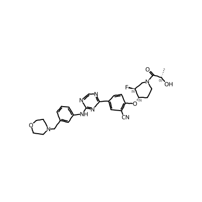 C[C@H](O)C(=O)N1CC[C@H](Oc2ccc(-c3ncnc(Nc4cccc(CN5CCOCC5)c4)n3)cc2C#N)[C@@H](F)C1